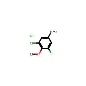 CCOc1c(Cl)cc(NC)cc1Cl.Cl